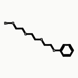 CCOCCOCCOCCOc1ccccc1